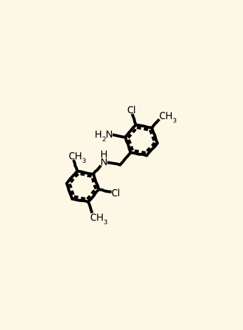 Cc1ccc(CNc2c(C)ccc(C)c2Cl)c(N)c1Cl